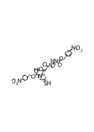 O=C(N[C@H]1CCN(C(=O)C[C@@H](O)[C@@H]2C[C@H](S)CN2C(=O)OCc2ccc([N+](=O)[O-])cc2)C1)OCc1ccc([N+](=O)[O-])cc1